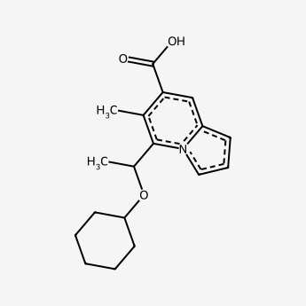 Cc1c(C(=O)O)cc2cccn2c1C(C)OC1CCCCC1